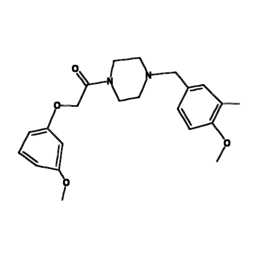 COc1cccc(OCC(=O)N2CCN(Cc3ccc(OC)c(C)c3)CC2)c1